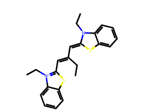 CCC(/C=C1\Sc2ccccc2N1CC)=C\c1sc2ccccc2[n+]1CC